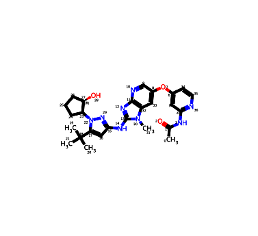 CC(=O)Nc1cc(Oc2cnc3nc(Nc4cc(C(C)(C)C)n(C5CCC[C@H]5O)n4)n(C)c3c2)ccn1